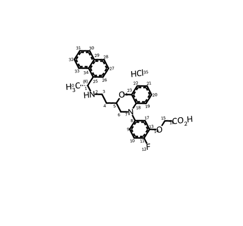 C[C@@H](NCCC1CN(c2ccc(F)c(OCC(=O)O)c2)c2ccccc2O1)c1cccc2ccccc12.Cl